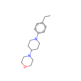 CCc1ccc(N2CCC(N3CCOCC3)CC2)cc1